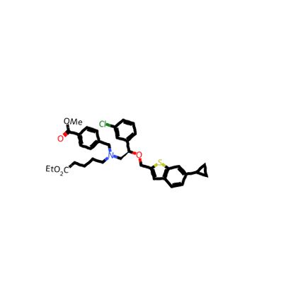 CCOC(=O)CCCCN(Cc1ccc(C(=O)OC)cc1)C[C@H](OCc1cc2ccc(C3CC3)cc2s1)c1cccc(Cl)c1